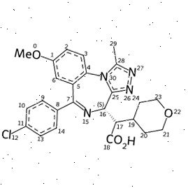 COc1ccc2c(c1)C(c1ccc(Cl)cc1)=N[C@@H](C(C(=O)O)C1CCOCC1)c1nnc(C)n1-2